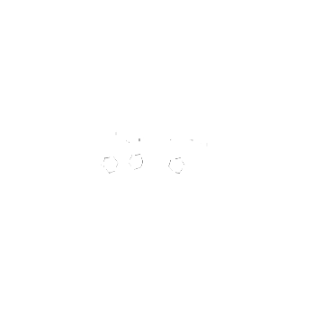 Cc1cc(-c2ccc(COc3cccc(C(CP(C)(=O)O)C4CC4)c3)cc2CN(C(C)C)C(C)C)c(F)cn1